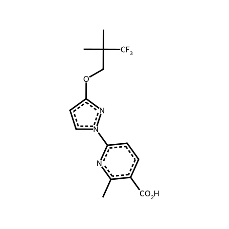 Cc1nc(-n2ccc(OCC(C)(C)C(F)(F)F)n2)ccc1C(=O)O